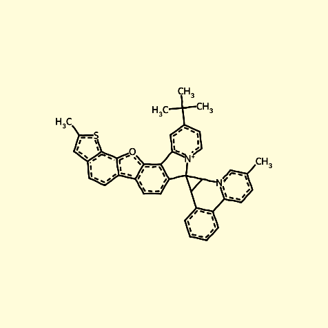 Cc1ccc2[n+](c1)C1C(c3ccccc3-2)C12c1ccc3c(oc4c3ccc3cc(C)sc34)c1-c1cc(C(C)(C)C)cc[n+]12